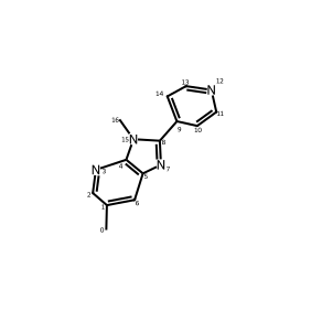 Cc1cnc2c(c1)nc(-c1ccncc1)n2C